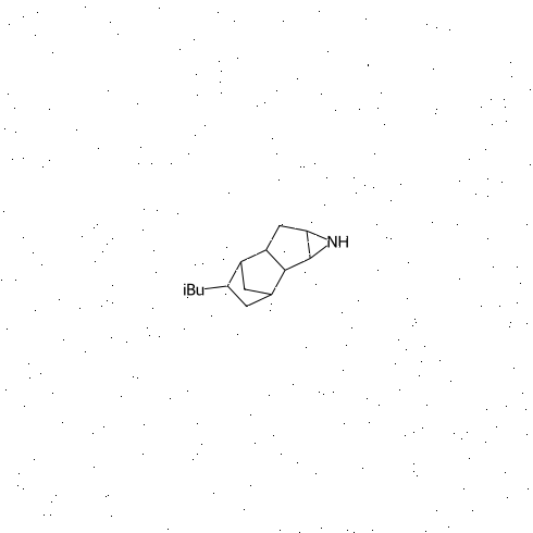 CCC(C)C1CC2CC1C1CC3NC3C21